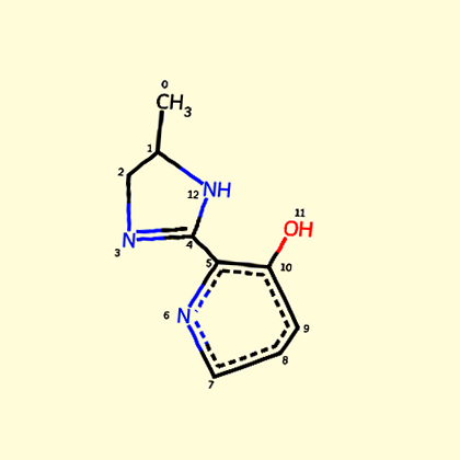 CC1CN=C(c2ncccc2O)N1